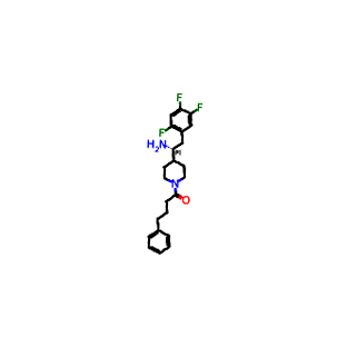 N[C@H](Cc1cc(F)c(F)cc1F)C1CCN(C(=O)CCCc2ccccc2)CC1